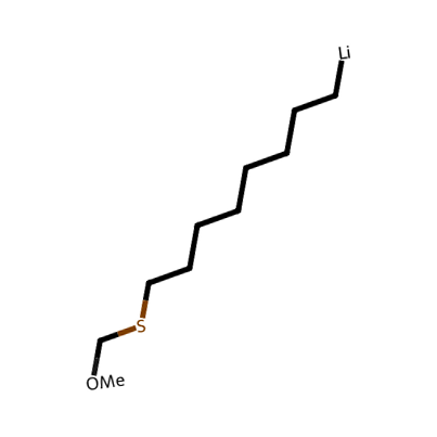 [Li][CH2]CCCCCCCSCOC